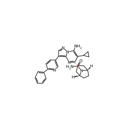 NC(=O)N1[C@@H]2CC[C@H]1C[C@@H](c1nc3c(-c4ccc(-c5ccccc5)nc4)cnn3c(N)c1C1CC1)C2